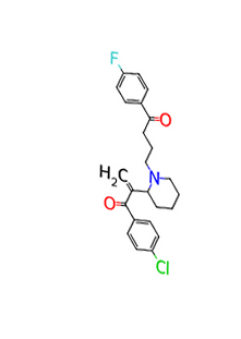 C=C(C(=O)c1ccc(Cl)cc1)C1CCCCN1CCCC(=O)c1ccc(F)cc1